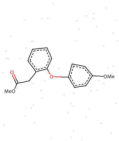 COC(=O)Cc1ccccc1Oc1ccc(OC)cc1